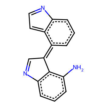 Nc1cccc2c1C(=c1cccc3c1=CC=N3)C=N2